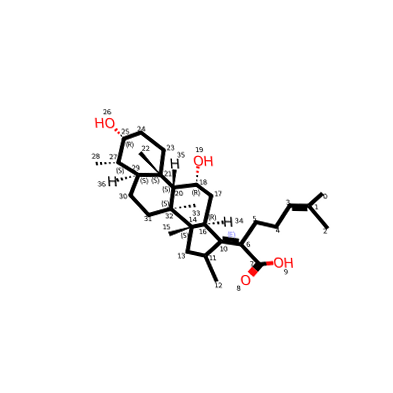 CC(C)=CCC/C(C(=O)O)=C1/C(C)C[C@@]2(C)[C@H]1C[C@@H](O)[C@H]1[C@@]3(C)CC[C@@H](O)[C@@H](C)[C@@H]3CC[C@@]12C